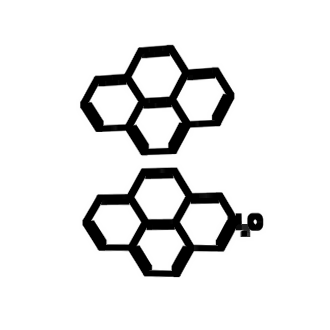 O.c1cc2ccc3cccc4ccc(c1)c2c34.c1cc2ccc3cccc4ccc(c1)c2c34